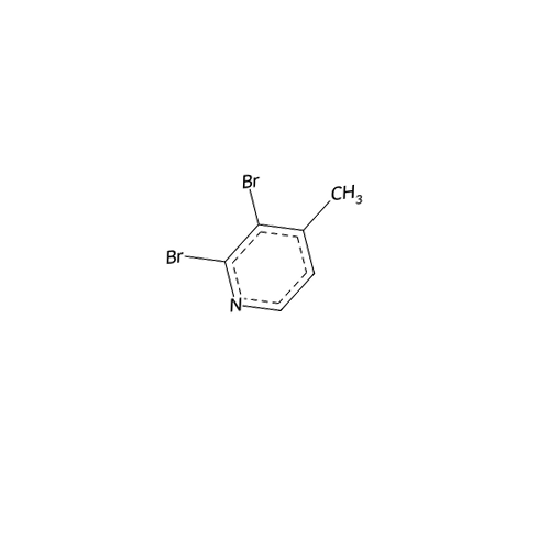 Cc1ccnc(Br)c1Br